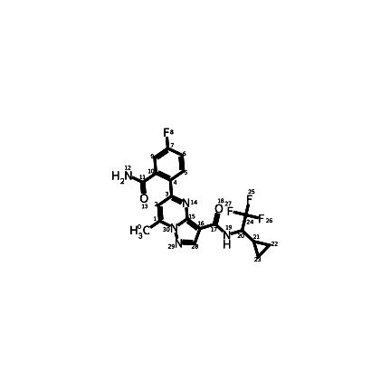 Cc1cc(-c2ccc(F)cc2C(N)=O)nc2c(C(=O)NC(C3CC3)C(F)(F)F)cnn12